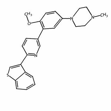 COc1ccc(N2CCN(C)CC2)cc1-c1ccc(-c2csc3ccccc23)nc1